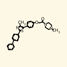 Cc1nc(-c2ccc(-c3ccccc3)cc2)sc1-c1ccc(OCC(=O)N2CCN(C)CC2)cc1